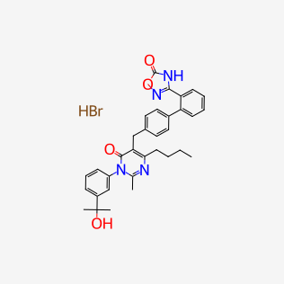 Br.CCCCc1nc(C)n(-c2cccc(C(C)(C)O)c2)c(=O)c1Cc1ccc(-c2ccccc2-c2noc(=O)[nH]2)cc1